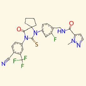 Cn1nccc1C(=O)NCc1ccc(N2C(=S)N(c3ccc(C#N)c(C(F)(F)F)c3)C(=O)C23CCCC3)cc1F